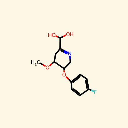 COC1CC(C(O)O)=NCC1Oc1ccc(F)cc1